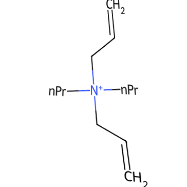 C=CC[N+](CC=C)(CCC)CCC